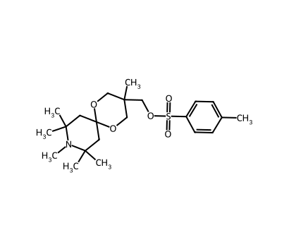 Cc1ccc(S(=O)(=O)OCC2(C)COC3(CC(C)(C)N(C)C(C)(C)C3)OC2)cc1